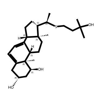 C[C@@H](SCCC(C)(C)O)[C@H]1CC[C@H]2C3=CC=C4C[C@@H](O)C[C@H](O)[C@]4(C)[C@H]3CC[C@]12C